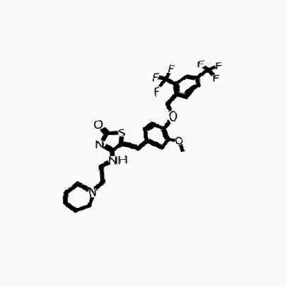 COc1cc(/C=C2\SC(=O)N=C2NCCN2CCCCC2)ccc1OCc1ccc(C(F)(F)F)cc1C(F)(F)F